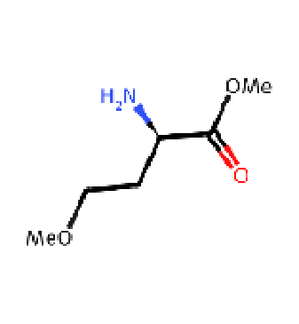 COCC[C@@H](N)C(=O)OC